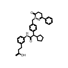 C=C(O)CCc1cccc(NC(=O)C(c2ccc(CN3N=C(c4ccccc4)CCC3=O)cc2)C2CCCC2)c1